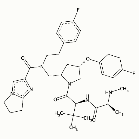 CN[C@@H](C)C(=O)N[C@H](C(=O)N1C[C@@H](OC2=CC=C(F)CC2)C[C@H]1CN(CCc1ccc(F)cc1)C(=O)c1cn2c(n1)CCC2)C(C)(C)C